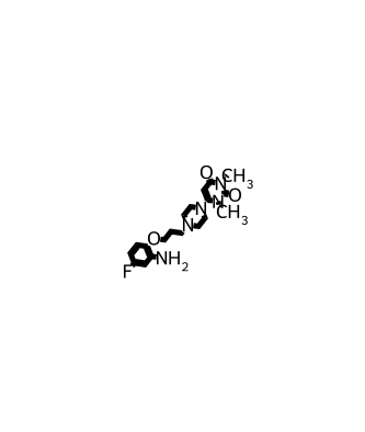 Cn1c(N2CCN(CCCOc3ccc(F)cc3N)CC2)cc(=O)n(C)c1=O